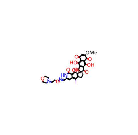 COC1=CC(=O)c2c(O)c3c(c(O)c2C1=O)C(=O)[C@]1(CCc2c1c(O)c1c(=O)[nH]c(/C=N/OCCN4CCOCC4)cc1c2I)C3=O